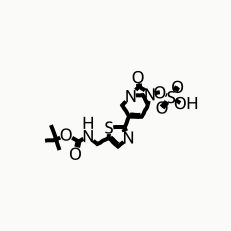 CC(C)(C)OC(=O)NCc1cnc(C2=CC3CN(C2)C(=O)N3OS(=O)(=O)O)s1